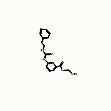 O=C[CH]NC(=O)c1cccc(NC(=O)NCCc2ccccc2)c1